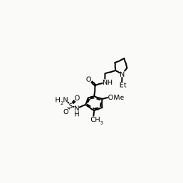 CCN1CCCC1CNC(=O)c1cc(NS(N)(=O)=O)c(C)cc1OC